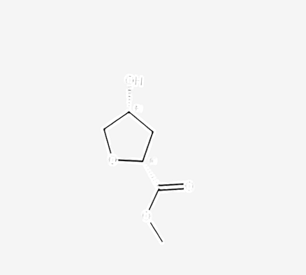 COC(=O)[C@H]1C[C@@H](O)CO1